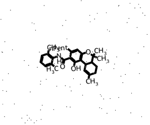 CCCCCc1cc2c(c(O)c1C(=O)Nc1c(C)cccc1C)C1C=C(C)CCC1C(C)(C)O2